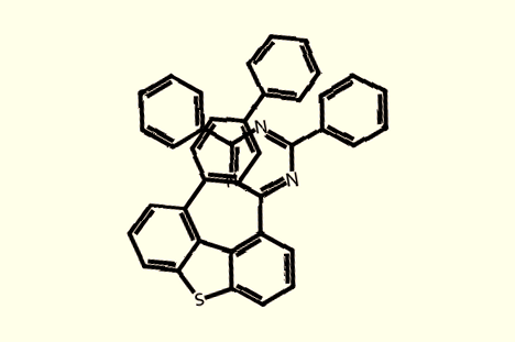 c1ccc(-c2ccc(-c3cccc4sc5cccc(-c6nc(-c7ccccc7)nc(-c7ccccc7)n6)c5c34)cc2)cc1